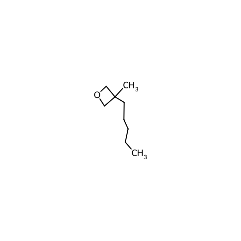 CCCCCC1(C)COC1